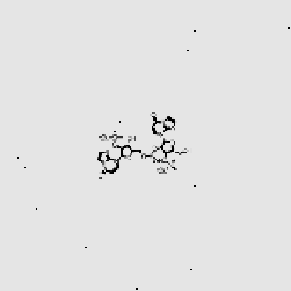 CC(C)(C)[Si](C)(C)OC1[C@@H](OP(O)OC[C@H]2O[C@@H](n3ccc(=O)n4ccnc34)C(O[Si](C)(C)C(C)(C)C)[C@@H]2O)[C@H](n2ccc(=O)n3ccnc23)O[C@@H]1CO